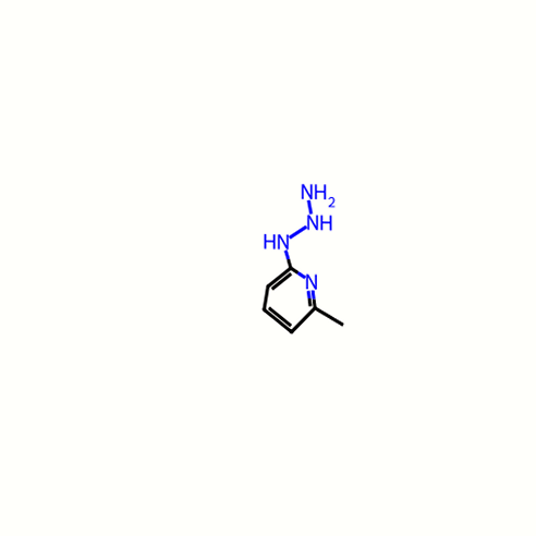 Cc1cccc(NNN)n1